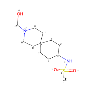 CCS(=O)(=O)NC1CCC2(CC1)CCN(CO)CC2